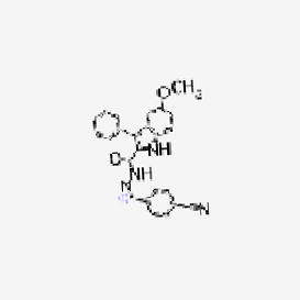 COc1ccc2[nH]c(C(=O)N/N=C\c3ccc(C#N)cc3)c(-c3ccccc3)c2c1